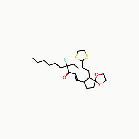 CCCCCCC(F)(CC)C(=O)C=CC1CCC2(OCCO2)C1CCC1SCCS1